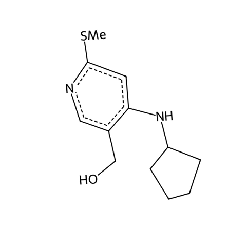 CSc1cc(NC2CCCC2)c(CO)cn1